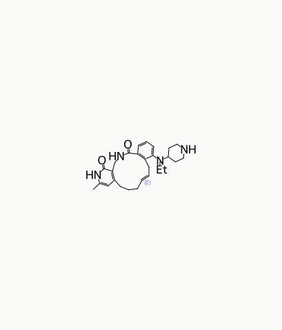 CCN(c1cccc2c1C/C=C/CCCc1cc(C)[nH]c(=O)c1CNC2=O)C1CCNCC1